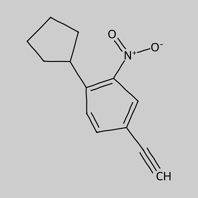 C#Cc1ccc(C2CCCC2)c([N+](=O)[O-])c1